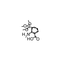 CO[Si](OC)(OC)c1cccc(C(=O)O)c1N